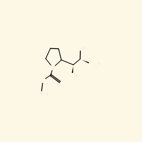 C[C@@H](C(=O)O)[C@@H](O)C1CCCN1C(=O)OC(C)(C)C